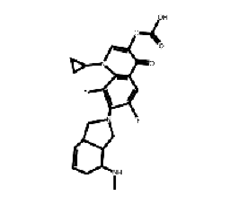 CNC1CC=CC2CN(c3c(F)cc4c(=O)c(OC(=O)O)cn(C5CC5)c4c3F)CC21